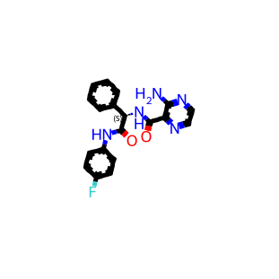 Nc1nccnc1C(=O)N[C@H](C(=O)Nc1ccc(F)cc1)c1ccccc1